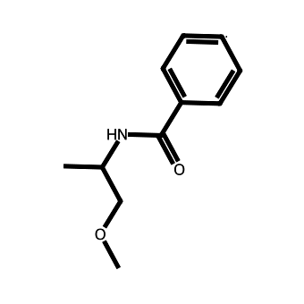 COCC(C)NC(=O)c1cc[c]cc1